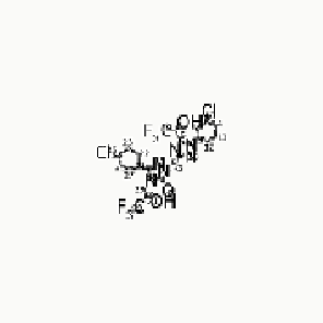 O=c1n(Cc2nc(C(O)C(F)(F)F)n(-c3cccc(Cl)c3)n2)nc(-c2ccc(Cl)cc2)n1C[C@H](O)C(F)(F)F